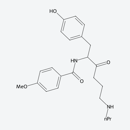 CCCNCCCC(=O)C(Cc1ccc(O)cc1)NC(=O)c1ccc(OC)cc1